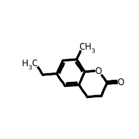 CCc1cc(C)c2c(c1)CCC(=O)O2